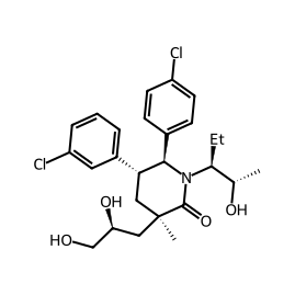 CC[C@@H]([C@H](C)O)N1C(=O)[C@@](C)(C[C@H](O)CO)C[C@H](c2cccc(Cl)c2)[C@H]1c1ccc(Cl)cc1